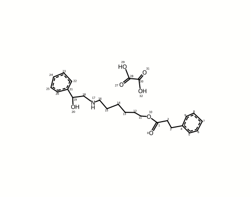 O=C(CCc1ccccc1)OCCCCCCNCC(O)c1ccccc1.O=C(O)C(=O)O